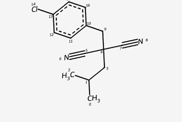 CC(C)CC(C#N)(C#N)Cc1ccc(Cl)cc1